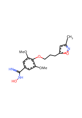 COc1cc(C(=N)NO)cc(OC)c1OCCCc1cc(C)no1